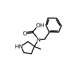 CC1(N(Cc2ccccc2)C(=O)O)CCNC1